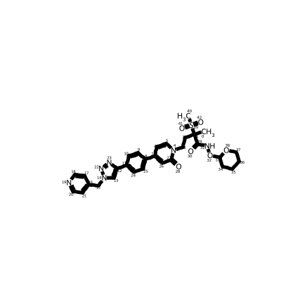 CC(CCn1ccc(-c2ccc(-c3cn(Cc4ccncc4)nn3)cc2)cc1=O)(C(=O)NOC1CCCCO1)S(C)(=O)=O